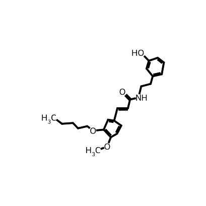 CCCCCOc1cc(C=CC(=O)NCCc2cccc(O)c2)ccc1OC